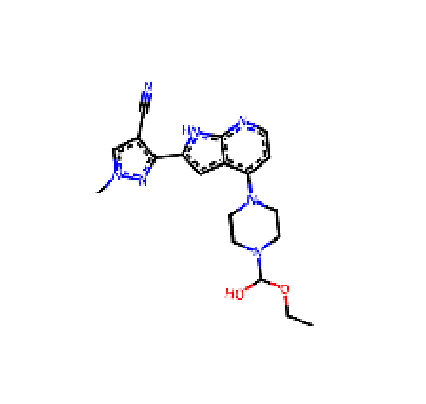 CCOC(O)N1CCN(c2ccnc3[nH]c(-c4nn(C)cc4C#N)cc23)CC1